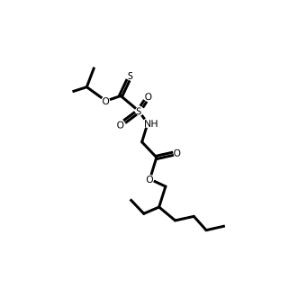 CCCCC(CC)COC(=O)CNS(=O)(=O)C(=S)OC(C)C